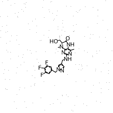 Cc1nc(NCc2cnn(Cc3cc(F)c(F)c(F)c3)c2)nc2c1NC(=O)[C@H]([C@@H](C)O)N2C